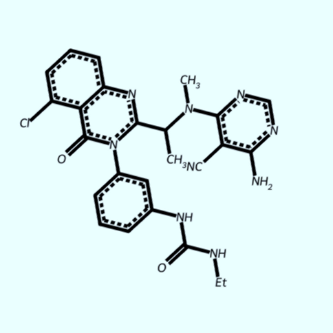 CCNC(=O)Nc1cccc(-n2c(C(C)N(C)c3ncnc(N)c3C#N)nc3cccc(Cl)c3c2=O)c1